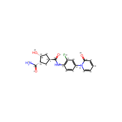 NC(=O)[C@H]1C[C@H](C(=O)Nc2ccc(-n3ccccc3=O)cc2F)C[C@H]1O